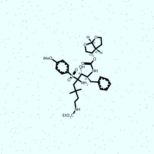 CCOC(=O)NCCC(C)(C)CC(N)([C@H](O)[C@H](Cc1ccccc1)NC(=O)O[C@@H]1CO[C@@H]2OCC[C@@H]21)S(=O)(=O)c1ccc(OC)cc1